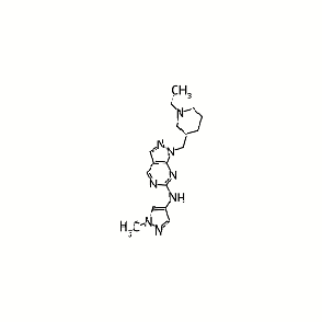 CCN1CCCC(Cn2ncc3cnc(Nc4cnn(C)c4)nc32)C1